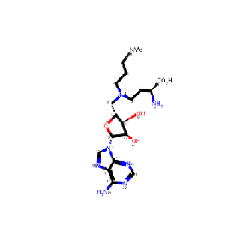 CNCCCN(CC[C@H](N)C(=O)O)C[C@H]1O[C@@H](n2cnc3c(N)ncnc32)[C@H](O)[C@@H]1O